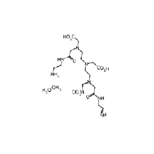 N=CCNC(=O)CN(CCN(CCN(CC(=O)O)CC(=O)NCCN)CC(=O)O)CC(=O)O.O.O